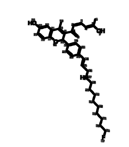 C=C(/C=C\C=C(/C)O)C1=C(C)c2cc(O)ccc2OC1c1ccc(/C=C/CNCCCCCCCCCF)cc1